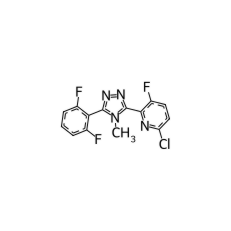 Cn1c(-c2nc(Cl)ccc2F)nnc1-c1c(F)cccc1F